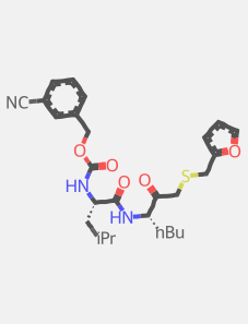 CCCC[C@H](NC(=O)[C@H](CC(C)C)NC(=O)OCc1cccc(C#N)c1)C(=O)CSCc1ccco1